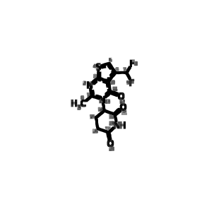 Cc1nc2scc(C(F)F)c2c(=O)n1C1CCC(=O)NC1=O